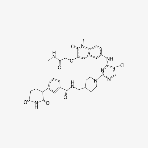 CNC(=O)COc1cc2cc(Nc3nc(N4CCC(CNC(=O)c5cccc(C6CCC(=O)NC6=O)c5)CC4)ncc3Cl)ccc2n(C)c1=O